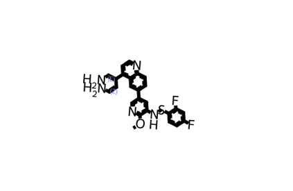 COc1ncc(-c2ccc3nccc(C(/C=C\N)=C/N)c3c2)cc1NSc1ccc(F)cc1F